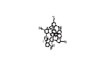 N#Cc1cc(C#N)c(-c2ccc3c(c2)c2ccccc2n3-c2ccc(-c3c(C(F)(F)F)cccc3C(F)(F)F)cc2-c2ccc(C#N)cc2-n2c3ccccc3c3cc(-c4c(C#N)cc(C#N)cc4C#N)ccc32)c(C#N)c1